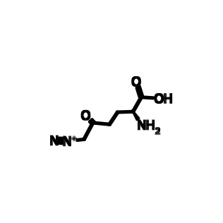 N#[N+]CC(=O)CC[C@H](N)C(=O)O